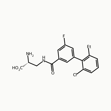 CCc1cccc(Cl)c1-c1cc(F)cc(C(=O)NC[C@@H](N)C(=O)O)c1